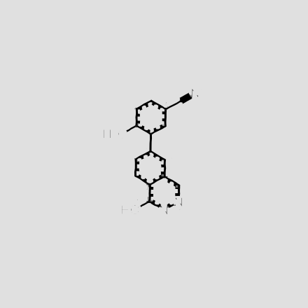 Cc1ccc(C#N)cc1-c1ccc2c(O)nncc2c1